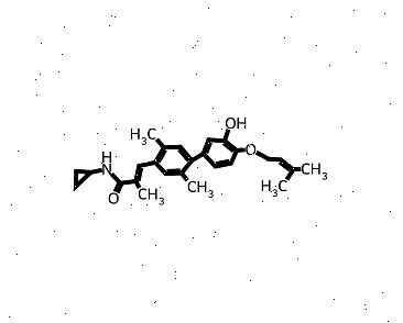 CC(C)=CCOc1ccc(-c2cc(C)c(/C=C(\C)C(=O)NC3CC3)cc2C)cc1O